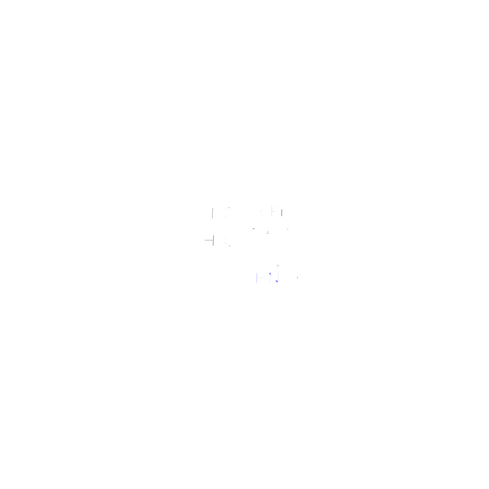 CCCC(C)(C)C1CCCNC1